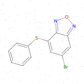 Brc1cc(Sc2ccccc2)c2nonc2c1